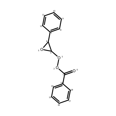 O=C(OOC1OC1c1ccccc1)c1ccccc1